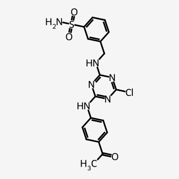 CC(=O)c1ccc(Nc2nc(Cl)nc(NCc3cccc(S(N)(=O)=O)c3)n2)cc1